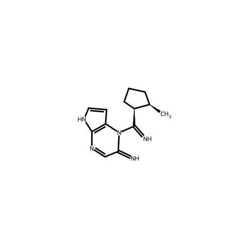 C[C@@H]1CCC[C@@H]1C(=N)n1c(=N)cnc2[nH]ccc21